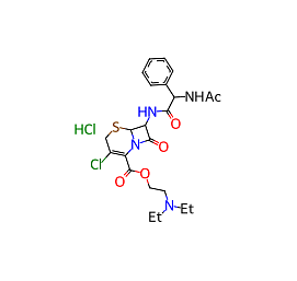 CCN(CC)CCOC(=O)C1=C(Cl)CSC2C(NC(=O)C(NC(C)=O)c3ccccc3)C(=O)N12.Cl